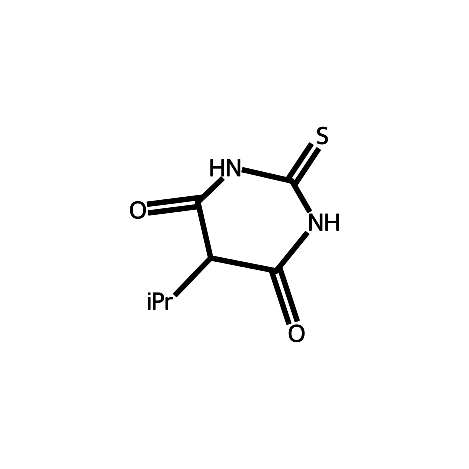 CC(C)C1C(=O)NC(=S)NC1=O